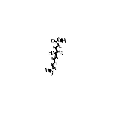 CNCCCCCNC(=O)CCC(=O)O